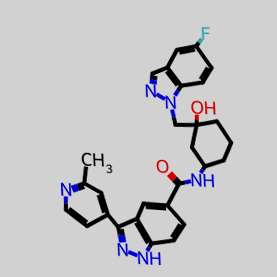 Cc1cc(-c2n[nH]c3ccc(C(=O)NC4CCCC(O)(Cn5ncc6cc(F)ccc65)C4)cc23)ccn1